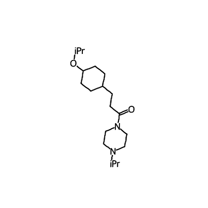 CC(C)OC1CCC(CCC(=O)N2CCN(C(C)C)CC2)CC1